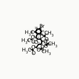 CC(=O)OCC1O[C@H]([C@H](OC(C)=O)c2ccc(Br)cc2C)C(OC(C)=O)[C@H](OC(C)=O)C1OC(C)=O